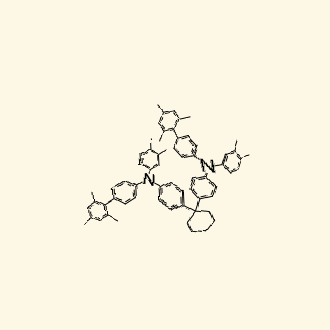 Cc1cc(C)c(-c2ccc(N(c3ccc(C4(c5ccc(N(c6ccc(-c7c(C)cc(C)cc7C)cc6)c6ccc(C)c(C)c6)cc5)CCCCC4)cc3)c3ccc(C)c(C)c3)cc2)c(C)c1